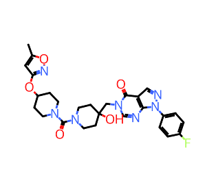 Cc1cc(OC2CCN(C(=O)N3CCC(O)(Cn4cnc5c(cnn5-c5ccc(F)cc5)c4=O)CC3)CC2)no1